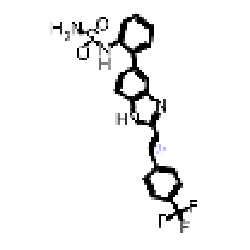 NS(=O)(=O)Nc1ccccc1-c1ccc2[nH]c(/C=C/c3ccc(C(F)(F)F)cc3)nc2c1